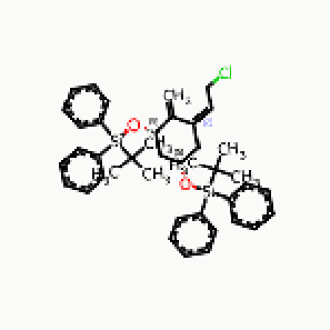 C=C1/C(=C\CCl)C[C@H](O[Si](c2ccccc2)(c2ccccc2)C(C)(C)C)C[C@@H]1O[Si](c1ccccc1)(c1ccccc1)C(C)(C)C